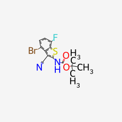 CC(C)(C)OC(=O)Nc1sc2c(F)ccc(Br)c2c1C#N